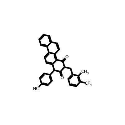 Cc1c(CC2C(=O)c3c(ccc4c3ccc3ccccc34)C(c3ccc(C#N)cc3)C2=O)cccc1C(F)(F)F